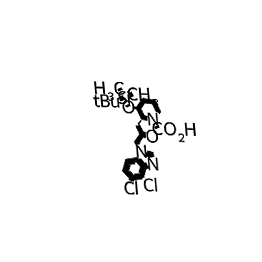 CC(C)(C)[Si](C)(C)O[C@H]1CCCN(C(=O)O)[C@@H]1CC(=O)Cn1cnc2c(Cl)c(Cl)ccc21